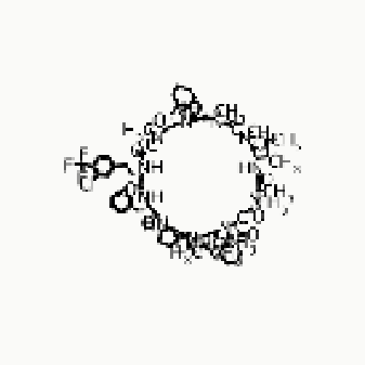 CC[C@H](C)[C@@H]1NC(=O)[C@H](C)N(C)C(=O)C[C@@H](C(=O)N2CCCCC2)N(C)C(=O)[C@H](C(C)C)N(C)C(=O)C2(CCCC2)NC(=O)[C@H](Cc2ccccc2)NC(=O)[C@H](CCc2ccc(C(F)(F)F)c(Cl)c2)NC(=O)CN(C)C(=O)[C@H](CC2CCCCC2)N(C)C(=O)CN(C)C(=O)CN(C)C1=O